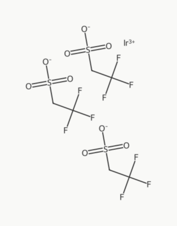 O=S(=O)([O-])CC(F)(F)F.O=S(=O)([O-])CC(F)(F)F.O=S(=O)([O-])CC(F)(F)F.[Ir+3]